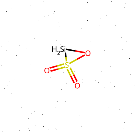 O=S1(=O)O[SiH2]1